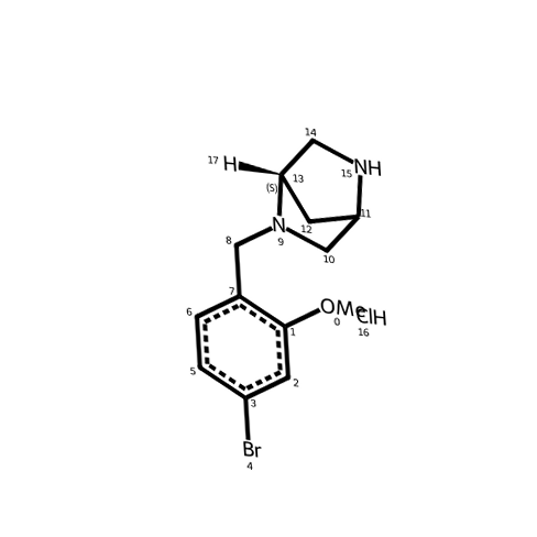 COc1cc(Br)ccc1CN1CC2C[C@H]1CN2.Cl